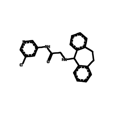 O=C(CNC1c2ccccc2CCc2ccccc21)Nc1cncc(Cl)c1